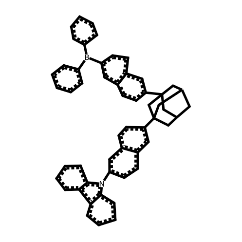 c1ccc(B(c2ccccc2)c2ccc3cc(C45CC6CC(C4)CC(c4ccc7cc(-n8c9ccccc9c9ccccc98)ccc7c4)(C6)C5)ccc3c2)cc1